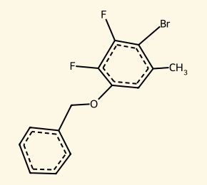 Cc1cc(OCc2ccccc2)c(F)c(F)c1Br